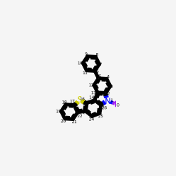 In1c2ccc(-c3ccccc3)cc2c2c3sc4ccccc4c3ccc21